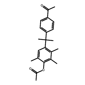 CC(=O)Oc1c(C)cc(C(C)(C)c2ccc(C(C)=O)cc2)c(C)c1C